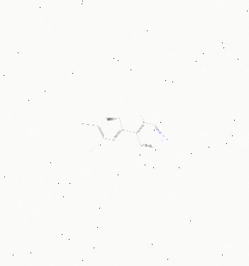 Cc1ccc(-c2ccncc2C)cc1C